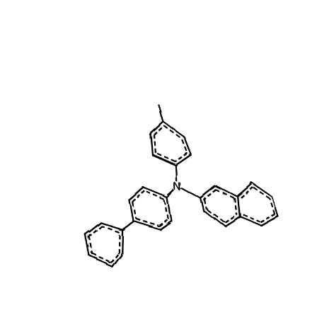 Cc1ccc(N(c2ccc(-c3ccccc3)cc2)c2ccc3ccccc3c2)cc1